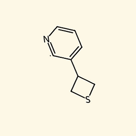 [c]1ncccc1C1CSC1